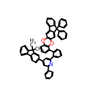 CC1(C)c2ccccc2-c2ccc(-c3cc(-c4ccccc4)nc(-c4ccccc4-c4cccc5c4Oc4cc6c(cc4O5)-c4ccccc4C6(c4ccccc4)c4ccccc4)c3)cc21